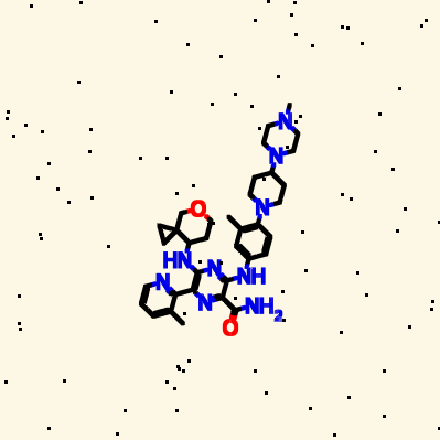 Cc1cc(Nc2nc(NC3CCOCC34CC4)c(-c3ncccc3C)nc2C(N)=O)ccc1N1CCC(N2CCN(C)CC2)CC1